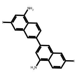 Nc1cc(I)cc2cc(-c3cc(N)c4ccc(I)cc4c3)ccc12